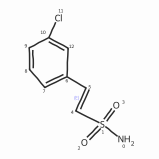 NS(=O)(=O)/C=C/c1cccc(Cl)c1